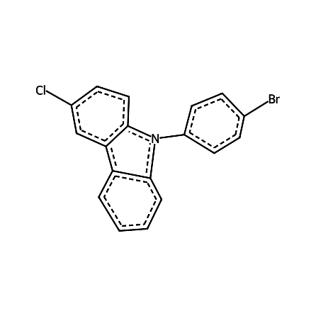 Clc1ccc2c(c1)c1ccccc1n2-c1ccc(Br)cc1